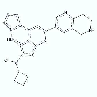 [O-][S+](c1sc2nc(-c3cnc4c(c3)CNCC4)cc3c2c1[nH]n1nccc31)C1CCC1